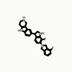 Fc1cccc2c1CN(c1ccc3c(c1F)NCC3c1ccc3[nH]c4c(c3c1)CNCC4)C2